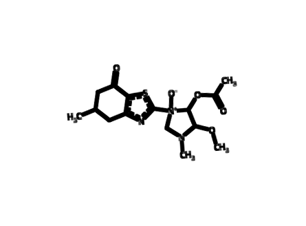 COC1C(OC(C)=O)[N+]([O-])(c2nc3c(s2)C(=O)CC(C)C3)CN1C